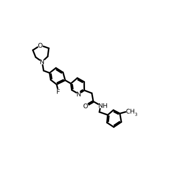 Cc1cccc(CNC(=O)Cc2ccc(-c3ccc(CN4CCOCC4)cc3F)cn2)c1